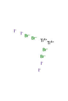 [Br-].[Br-].[Br-].[Br-].[I-].[I-].[I-].[I-].[Ti+4].[Ti+4]